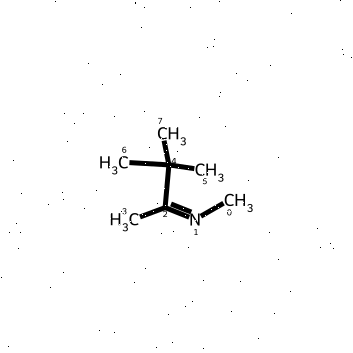 C/N=C(/C)C(C)(C)C